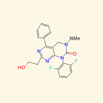 CNN1Cc2c(-c3ccccc3)nc(CCO)nc2N(c2c(F)cccc2F)C1=O